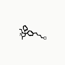 CCC1=NC(C)CC1(c1ccccc1)c1ccc(CCCCCl)cc1